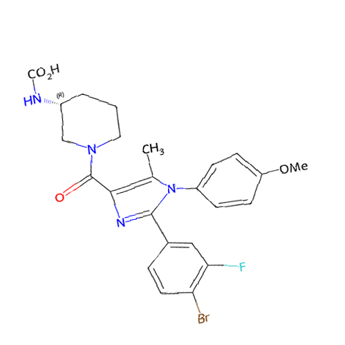 COc1ccc(-n2c(-c3ccc(Br)c(F)c3)nc(C(=O)N3CCC[C@@H](NC(=O)O)C3)c2C)cc1